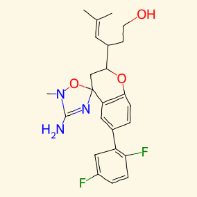 CC(C)=CC(CCO)C1CC2(N=C(N)N(C)O2)c2cc(-c3cc(F)ccc3F)ccc2O1